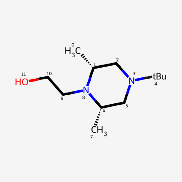 C[C@@H]1CN(C(C)(C)C)C[C@H](C)N1CCO